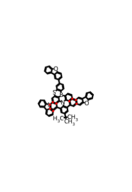 CC(C)(C)c1cc(-c2ccccc2)c(N2c3cc(-c4ccc5oc6ccccc6c5c4)ccc3B3c4ccc(-c5ccc6oc7ccccc7c6c5)cc4Sc4cc(-n5c6ccccc6c6ccccc65)cc2c43)c(-c2ccccc2)c1